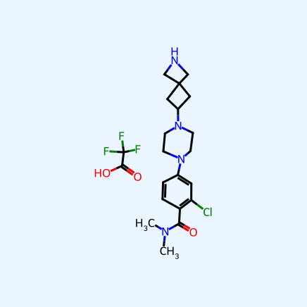 CN(C)C(=O)c1ccc(N2CCN(C3CC4(CNC4)C3)CC2)cc1Cl.O=C(O)C(F)(F)F